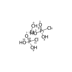 CCC.O=P(O)(O)Cl.O=P(O)(O)Cl